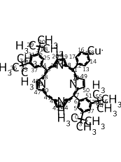 CC(C)(C)c1cc(-c2c3nc(c(-c4ccccc4)c4ccc([nH]4)c(-c4cc(C(C)(C)C)cc(C(C)(C)C)c4)c4nc(cc5ccc2[nH]5)C=C4)C=C3)cc(C(C)(C)C)c1.[Cu]